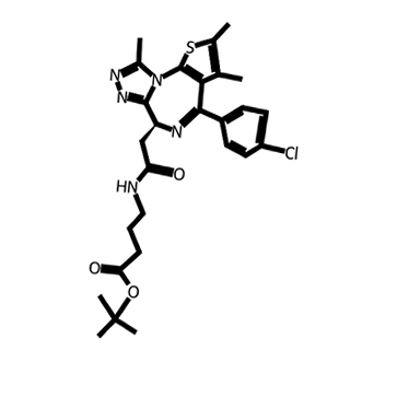 Cc1sc2c(c1C)C(c1ccc(Cl)cc1)=N[C@@H](CC(=O)NCCCC(=O)OC(C)(C)C)c1nnc(C)n1-2